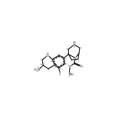 CC(C)(C)OC(=O)N1C2CCC1(c1cc(F)c3c(c1)OCC(N)C3)CNC2